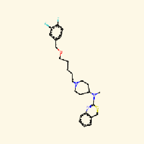 CN(C1=Nc2ccccc2CS1)C1CCN(CCCCCOCc2ccc(F)c(F)c2)CC1